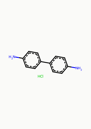 Cl.Nc1ccc(-c2ccc(N)cc2)cc1